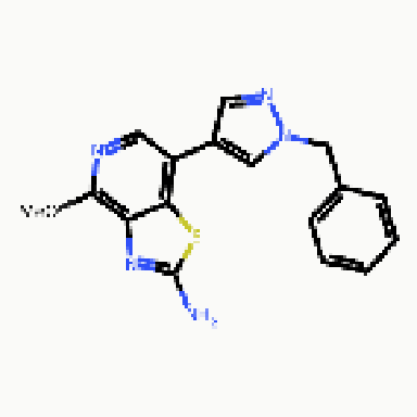 COc1ncc(-c2cnn(Cc3ccccc3)c2)c2sc(N)nc12